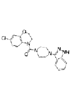 O=C(N1CCN(c2n[nH]c3ccccc23)CC1)N1CCOc2cc(Cl)ccc21